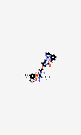 Cc1cc(C)c(S(=O)(=O)NC(CNC(=O)COC2CC(CNc3ncccn3)N(C(=O)OCc3ccccc3)C2)C(=O)O)c(C)c1